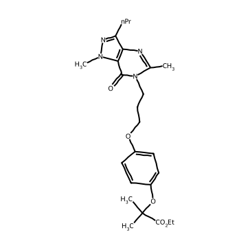 CCCc1nn(C)c2c(=O)n(CCCOc3ccc(OC(C)(C)C(=O)OCC)cc3)c(C)nc12